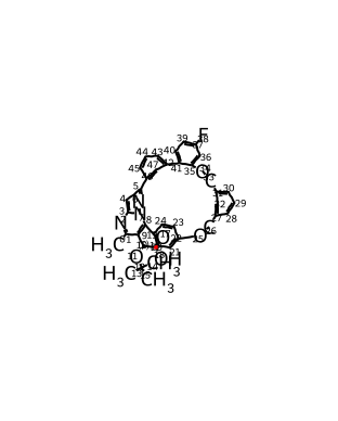 Cc1nc2cc3nn2c(c1[C@H](OC(C)(C)C)C(=O)O)-c1ccc(cc1)OCc1cccc(c1)COc1cc(F)ccc1-c1cccc-3c1